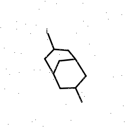 CC1CC2CC(I)CC(C1)C2